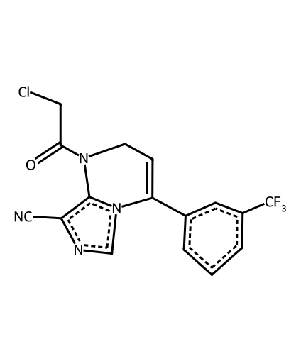 N#Cc1ncn2c1N(C(=O)CCl)CC=C2c1cccc(C(F)(F)F)c1